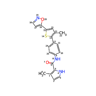 Cc1cc[nH]c1C(=O)Nc1ccc(-c2sc(-c3ccno3)cc2C)cc1